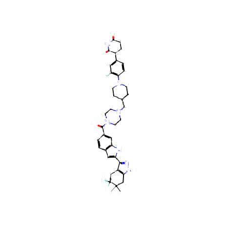 C[C@@H]1CN(C(=O)c2ccc3cc(-c4n[nH]c5c4CC(F)(F)C(C)(C)C5)[nH]c3c2)CCN1CC1CCN(c2ccc(C3CCC(=O)NC3=O)cc2F)CC1